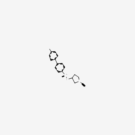 N#CN1CCC(NS(=O)(=O)c2ccc(-c3ccc(F)cc3)cc2)C1